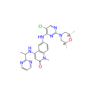 CC(Nc1cc(=O)n(C)c2ccc(Nc3nc(N4C[C@@H](C)O[C@@H](C)C4)ncc3Cl)cc12)c1ncccn1